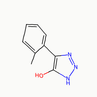 Cc1ccccc1-c1nn[nH]c1O